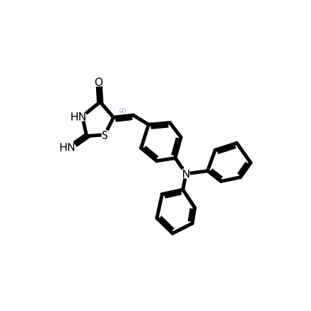 N=C1NC(=O)/C(=C/c2ccc(N(c3ccccc3)c3ccccc3)cc2)S1